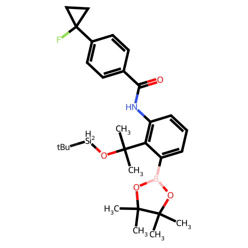 CC(C)(C)[SiH2]OC(C)(C)c1c(NC(=O)c2ccc(C3(F)CC3)cc2)cccc1B1OC(C)(C)C(C)(C)O1